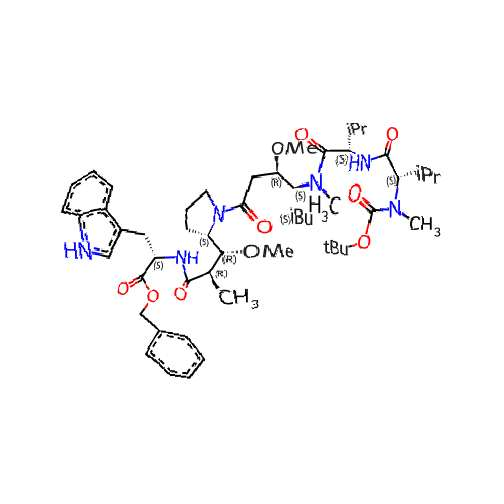 CC[C@H](C)[C@@H]([C@@H](CC(=O)N1CCC[C@H]1[C@H](OC)[C@@H](C)C(=O)N[C@@H](Cc1c[nH]c2ccccc12)C(=O)OCc1ccccc1)OC)N(C)C(=O)[C@@H](NC(=O)[C@H](C(C)C)N(C)C(=O)OC(C)(C)C)C(C)C